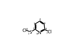 ClSc1cccc(Cl)n1